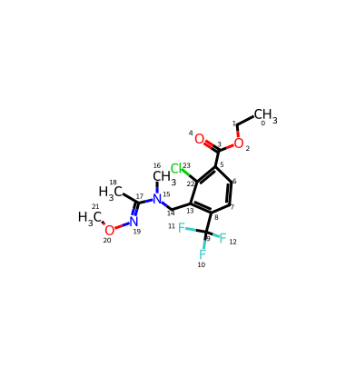 CCOC(=O)c1ccc(C(F)(F)F)c(CN(C)C(C)=NOC)c1Cl